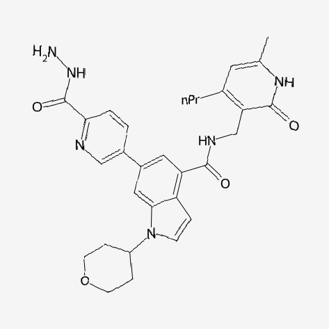 CCCc1cc(C)[nH]c(=O)c1CNC(=O)c1cc(-c2ccc(C(=O)NN)nc2)cc2c1ccn2C1CCOCC1